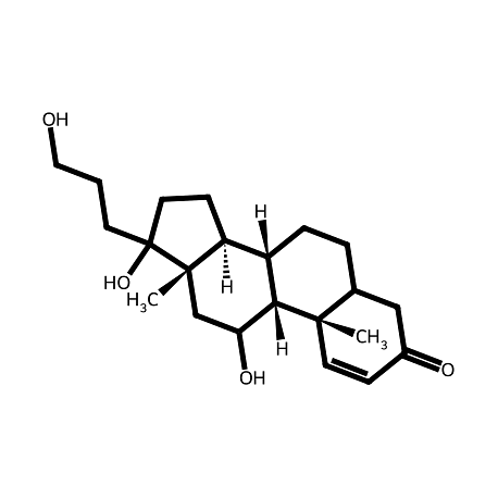 C[C@]12C=CC(=O)CC1CC[C@@H]1[C@H]2C(O)C[C@@]2(C)[C@H]1CCC2(O)CCCO